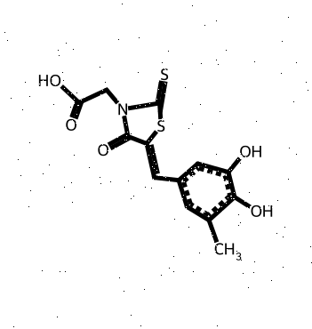 Cc1cc(/C=C2\SC(=S)N(CC(=O)O)C2=O)cc(O)c1O